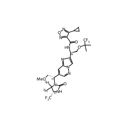 [2H]C1([2H])[C@@H](C(F)(F)F)NC(=O)N1[C@H](COC)c1cnn2cc([C@H](COC(C)(C)C(F)(F)F)NC(=O)c3nonc3C3CC3)nc2c1